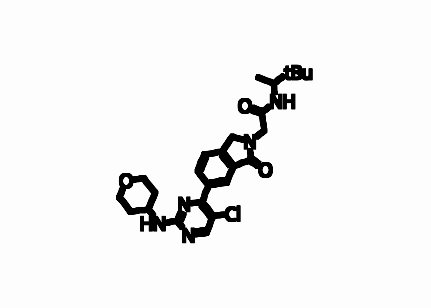 CC(NC(=O)CN1Cc2ccc(-c3nc(NC4CCOCC4)ncc3Cl)cc2C1=O)C(C)(C)C